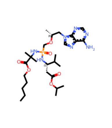 CCCCCOC(=O)C(C)(C)NP(=O)(CO[C@H](C)Cn1cnc2c(N)ncnc21)N[C@@H](CC(=O)OC(C)C)C(C)C